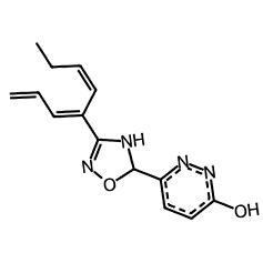 C=C/C=C(\C=C/CC)C1=NOC(c2ccc(O)nn2)N1